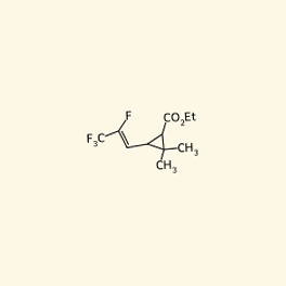 CCOC(=O)C1C(C=C(F)C(F)(F)F)C1(C)C